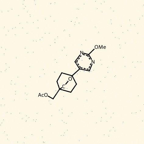 COc1ncc(C23CCC(COC(C)=O)(CC2)CO3)cn1